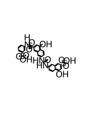 O=C(Nc1ccc2c(O)cc(S(=O)(=O)O)cc2c1)Nc1ccc2c(O)cc(S(=O)(=O)Nc3cccc(S(=O)(=O)O)c3)cc2c1